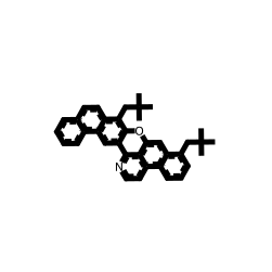 CC(C)(C)Cc1c2c(cc3c1ccc1ccccc13)-c1nccc3c1c(cc1c(CC(C)(C)C)cccc13)O2